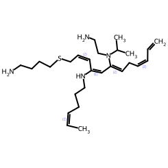 C=C/C=C\C/C=C(/C=C(\C=C/CSCCCCN)NCCC/C=C\C)N(CCN)C(C)C